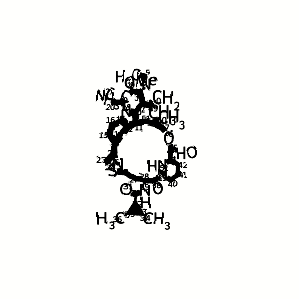 C=C/C(=C(\N=C/C)[C@H](C)OC)c1c2c3cc(ccc3n1CCC#N)C1CSC(=N1)C[C@H](NC(=O)[C@H]1[C@H](C)[C@@H]1C)C(=O)N1CCC[C@](C=O)(COCC(C)(C)C2)N1